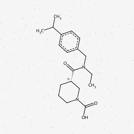 CCN(Cc1ccc(C(C)C)cc1)C(=O)[C@H]1CCCN(C(=O)O)C1